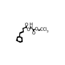 O=C(C/C=C/c1ccccc1)ONC(=O)OCC(Cl)(Cl)Cl